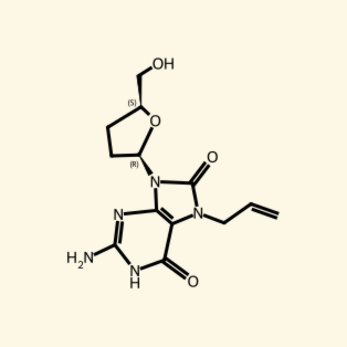 C=CCn1c(=O)n([C@H]2CC[C@@H](CO)O2)c2nc(N)[nH]c(=O)c21